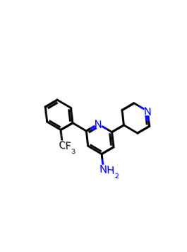 Nc1cc(-c2ccccc2C(F)(F)F)nc(C2CC=NCC2)c1